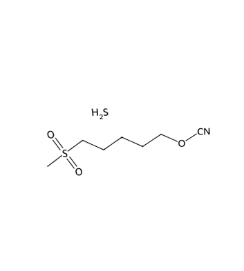 CS(=O)(=O)CCCCCOC#N.S